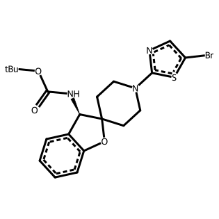 CC(C)(C)OC(=O)N[C@@H]1c2ccccc2OC12CCN(c1ncc(Br)s1)CC2